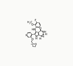 COc1c(F)cccc1Nc1c(-c2ccncc2OC[C@@H]2CCO2)[nH]c2c1C(=O)N[C@H]1C[C@@H]21